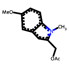 COc1ccc2c(c1)cc(COC(C)=O)n2C